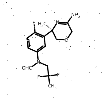 CC(F)(F)CN(C=O)c1ccc(F)c([C@]2(C)COCC(N)=N2)c1